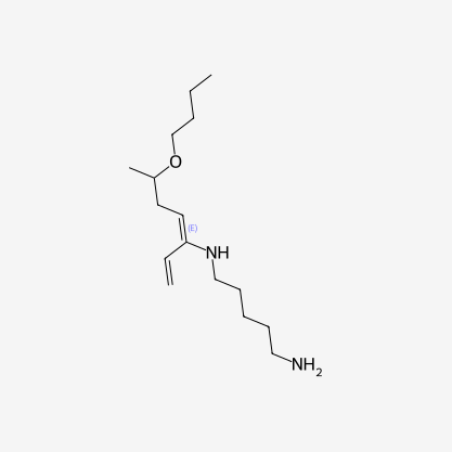 C=C/C(=C\CC(C)OCCCC)NCCCCCN